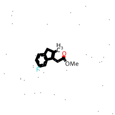 COC(=O)CC1=C(C)Cc2ccc(F)cc21